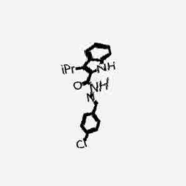 CC(C)c1c(C(=O)NN=Cc2ccc(Cl)cc2)[nH]c2ccccc12